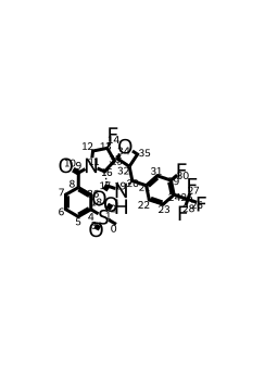 CS(=O)(=O)c1cccc(C(=O)N2C[C@@H](F)C[C@@H]2C(=O)N[C@@H](c2ccc(C(F)(F)F)c(F)c2)C2COC2)c1